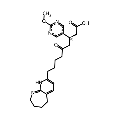 COc1ncc([C@@H](CC(=O)O)CC(=O)CCCCC2=CC=C3CCCCN=C3N2)cn1